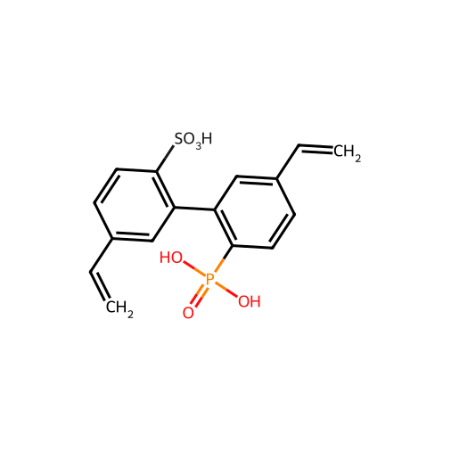 C=Cc1ccc(P(=O)(O)O)c(-c2cc(C=C)ccc2S(=O)(=O)O)c1